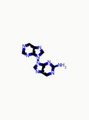 Nc1ncc2ncn(-n3cnc4cncnc43)c2n1